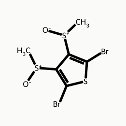 C[S+]([O-])c1c(Br)sc(Br)c1[S+](C)[O-]